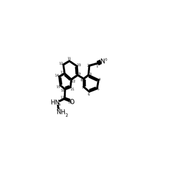 N#CCc1ccccc1C1=CCCc2ccc(C(=O)NN)cc21